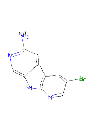 Nc1cc2c(cn1)[nH]c1ncc(Br)cc12